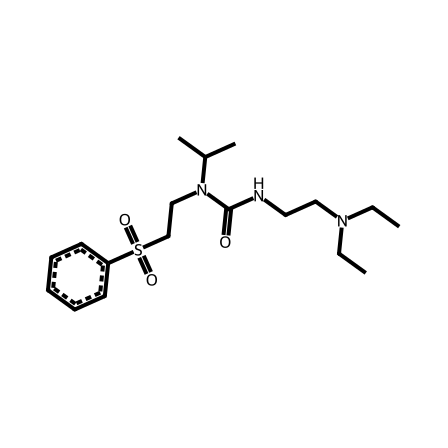 CCN(CC)CCNC(=O)N(CCS(=O)(=O)c1ccccc1)C(C)C